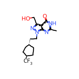 Cc1nc2c(c(CO)nn2CC[C@H]2CC[C@H](C(F)(F)F)CC2)c(=O)[nH]1